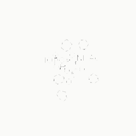 CC(=O)N[C@H]1[C@H](OCc2ccccc2)[C@@H](COCc2ccccc2)OC(Cc2ccccc2)(OP(=O)(O)O)[C@]1(Cc1ccccc1)OCc1ccccc1